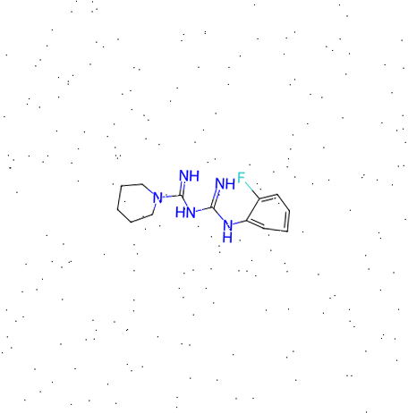 N=C(NC(=N)N1CCCCC1)Nc1ccccc1F